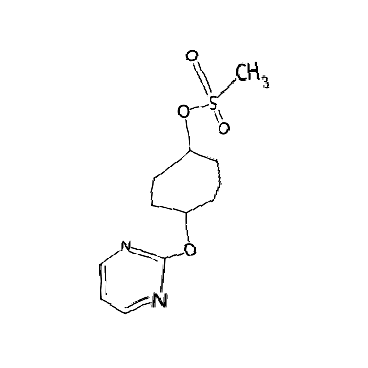 CS(=O)(=O)OC1CCC(Oc2ncccn2)CC1